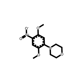 COc1cc([N+](=O)[O-])c(OC)cc1N1CCOCC1